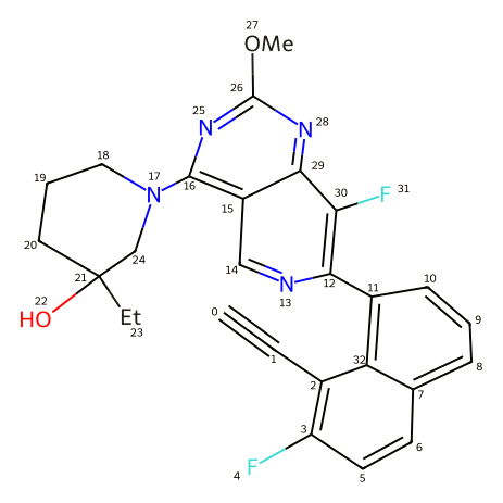 C#Cc1c(F)ccc2cccc(-c3ncc4c(N5CCCC(O)(CC)C5)nc(OC)nc4c3F)c12